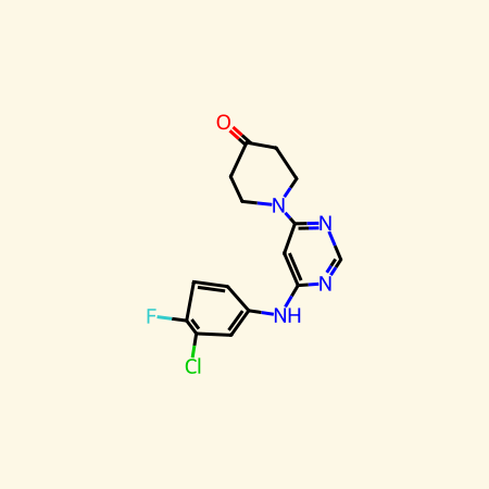 O=C1CCN(c2cc(Nc3ccc(F)c(Cl)c3)ncn2)CC1